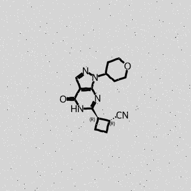 N#C[C@@H]1CC[C@H]1c1nc2c(cnn2C2CCOCC2)c(=O)[nH]1